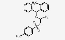 Cc1ccc(S(=O)(=O)OC(C)OC(c2ccccc2)c2ccccc2C)cc1